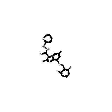 Cc1cc(OCc2c(F)cccc2F)c2nc(C)c(C(=O)NNc3ccccn3)n2c1